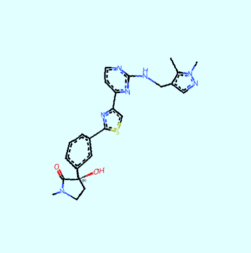 Cc1c(CNc2nccc(-c3csc(-c4cccc([C@]5(O)CCN(C)C5=O)c4)n3)n2)cnn1C